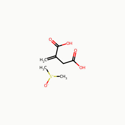 C=C(CC(=O)O)C(=O)O.C[S+](C)[O-]